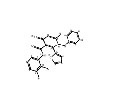 Cc1cccc(NC(=O)c2c(-c3ccco3)n(Cc3ccccc3)c(C)cc2=O)c1C